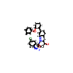 COC(=O)C(Cc1ccc(-c2ccccc2Oc2ccccc2)cc1)NC(=O)c1cc(Cl)ccc1N